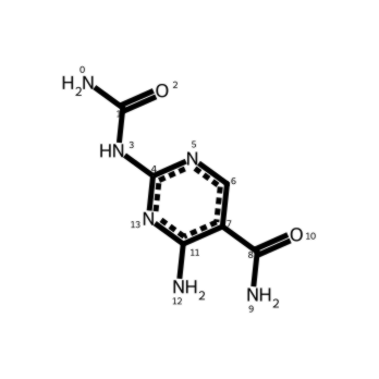 NC(=O)Nc1ncc(C(N)=O)c(N)n1